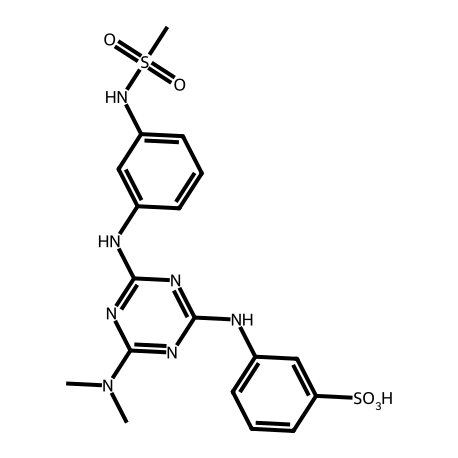 CN(C)c1nc(Nc2cccc(NS(C)(=O)=O)c2)nc(Nc2cccc(S(=O)(=O)O)c2)n1